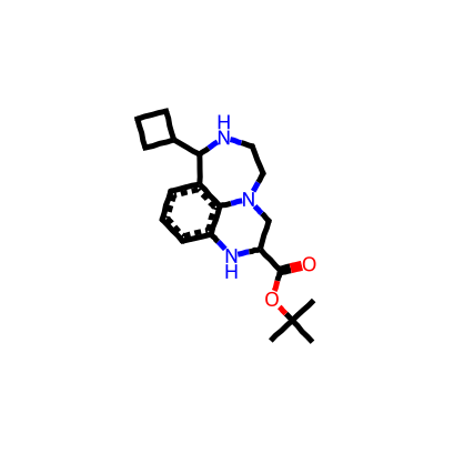 CC(C)(C)OC(=O)C1CN2CCNC(C3CCC3)c3cccc(c32)N1